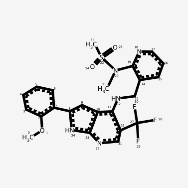 COc1ccccc1-c1cc2c(NCc3cccnc3N(C)S(C)(=O)=O)c(C(F)(F)F)cnc2[nH]1